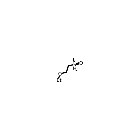 CCOCC[SH](C)(C)=O